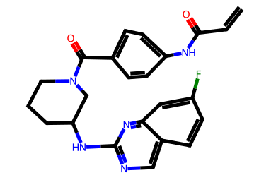 C=CC(=O)Nc1ccc(C(=O)N2CCCC(Nc3ncc4ccc(F)cc4n3)C2)cc1